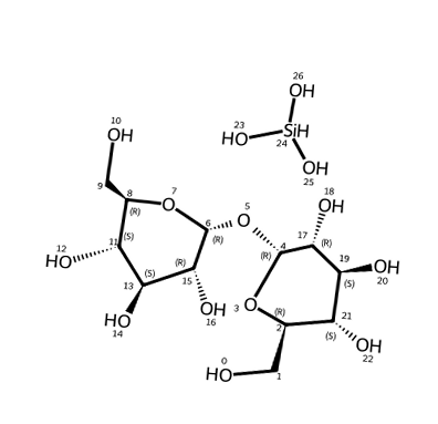 OC[C@H]1O[C@H](O[C@H]2O[C@H](CO)[C@@H](O)[C@H](O)[C@H]2O)[C@H](O)[C@@H](O)[C@@H]1O.O[SiH](O)O